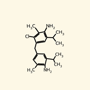 Cc1cc(Cc2cc(C(C)C)c(N)c(C)c2Cl)cc(C(C)C)c1N